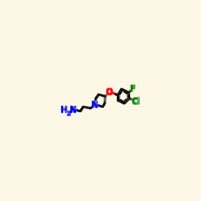 NCCCN1CCC(Oc2ccc(Cl)c(F)c2)CC1